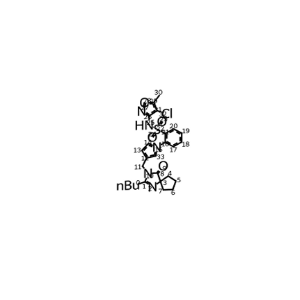 CCCCC1=NC2(CCCC2)C(=O)N1Cc1ccn(-c2ccccc2S(=O)(=O)Nc2noc(C)c2Cl)c1